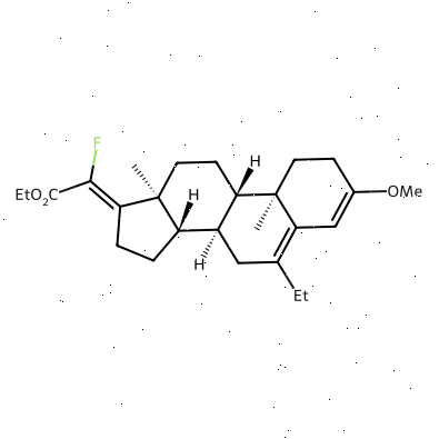 CCOC(=O)C(F)=C1CC[C@H]2[C@@H]3CC(CC)=C4C=C(OC)CC[C@]4(C)[C@H]3CC[C@]12C